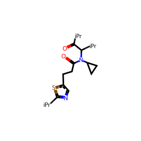 CC(C)C(=O)C(C(C)C)N(C(=O)CCc1cnc(C(C)C)s1)C1CC1